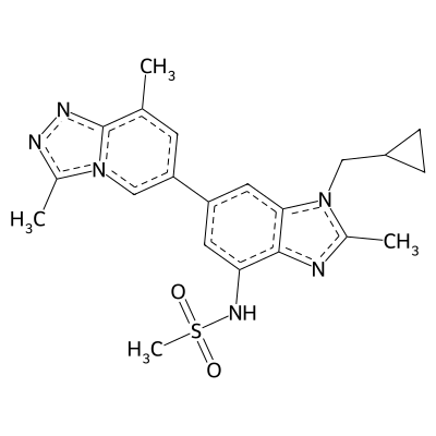 Cc1cc(-c2cc(NS(C)(=O)=O)c3nc(C)n(CC4CC4)c3c2)cn2c(C)nnc12